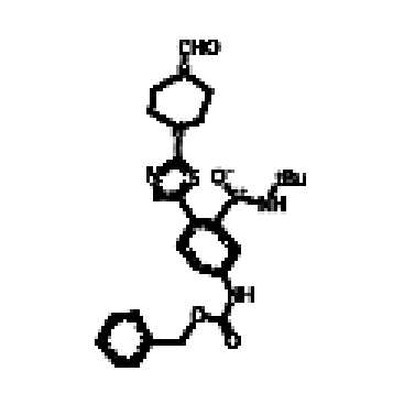 CC(C)(C)N[S+]([O-])c1cc(NC(=O)OCc2ccccc2)ccc1-c1cnc(N2CCN(C=O)CC2)s1